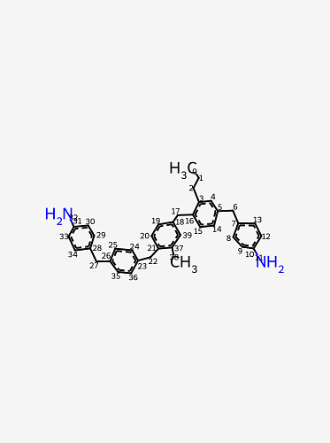 CCCc1cc(Cc2ccc(N)cc2)ccc1Cc1ccc(Cc2ccc(Cc3ccc(N)cc3)cc2)c(C)c1